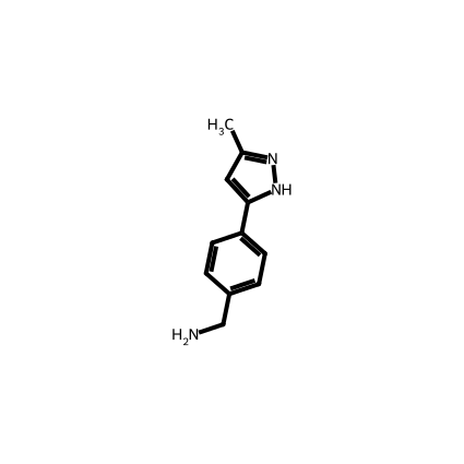 Cc1cc(-c2ccc(CN)cc2)[nH]n1